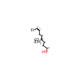 CC(=O)O.CC/C=C\CCCCCCO